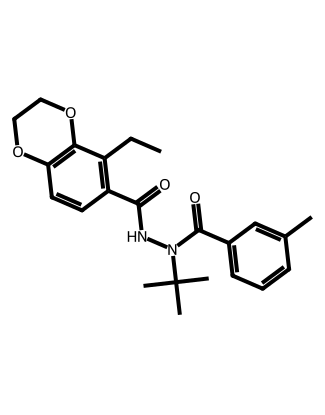 CCc1c(C(=O)NN(C(=O)c2cccc(C)c2)C(C)(C)C)ccc2c1OCCO2